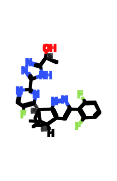 C[C@H](O)c1nnc(-c2ncc(F)c([C@]34CC[C@@H](c5cc(-c6c(F)cccc6F)nnc53)C4(C)C)n2)[nH]1